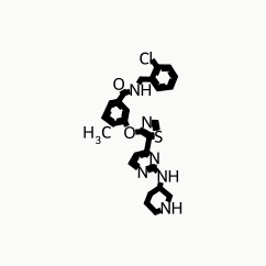 Cc1ccc(C(=O)NCc2ccccc2Cl)cc1Oc1ncsc1-c1ccnc(NC2CCCNC2)n1